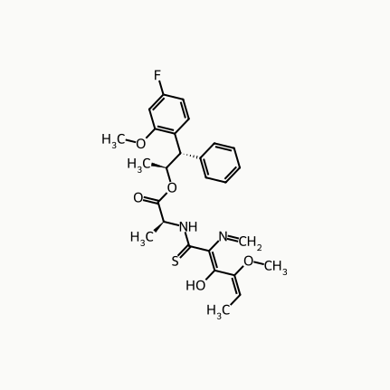 C=N/C(C(=S)N[C@@H](C)C(=O)O[C@@H](C)[C@@H](c1ccccc1)c1ccc(F)cc1OC)=C(O)\C(=C/C)OC